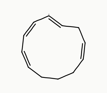 [C]1=C\C/C=C\CCC\C=C/C=C\1